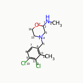 CNC1CN(Cc2ccc(Cl)c(Cl)c2C)CCO1